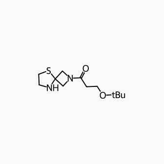 CC(C)(C)OCCC(=O)N1CC2(C1)NCCS2